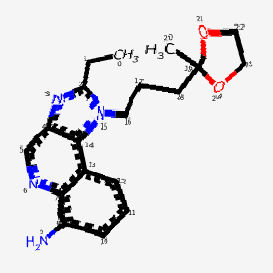 CCc1nc2cnc3c(N)cccc3c2n1CCCC1(C)OCCO1